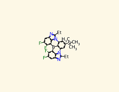 CCc1nc2cc(F)c(F)c3c2n1-c1cc([Si](C)(C)C)cc2c1B3c1c(F)c(F)cc3nc(CC)n-2c13